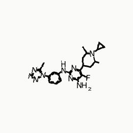 Cc1nnnn1-c1cccc(Nc2nc(N)c(F)c(C3CC(C)N(C4CC4)C(C)C3)n2)c1